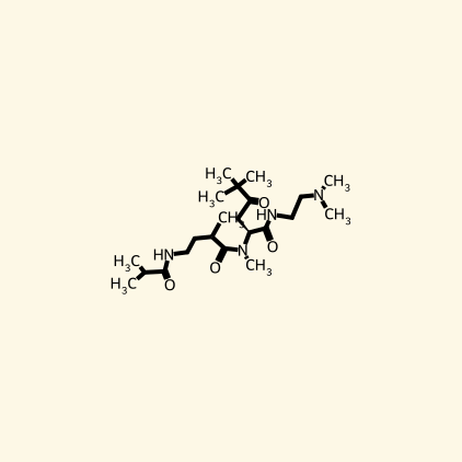 CC(C)C(=O)NCCC(C)C(=O)N(C)[C@@H](CC(=O)C(C)(C)C)C(=O)NCCN(C)C